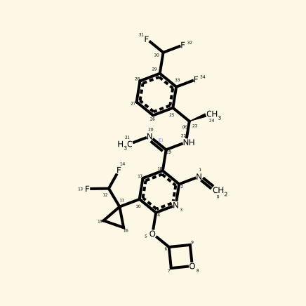 C=Nc1nc(OC2COC2)c(C2(C(F)F)CC2)cc1/C(=N\C)N[C@H](C)c1cccc(C(F)F)c1F